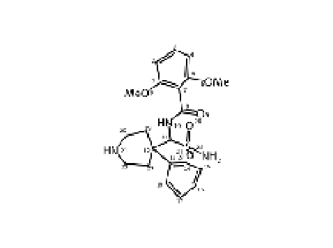 COc1cccc(OC)c1C(=O)NC(C1(c2ccccc2)CCNCC1)S(N)(=O)=O